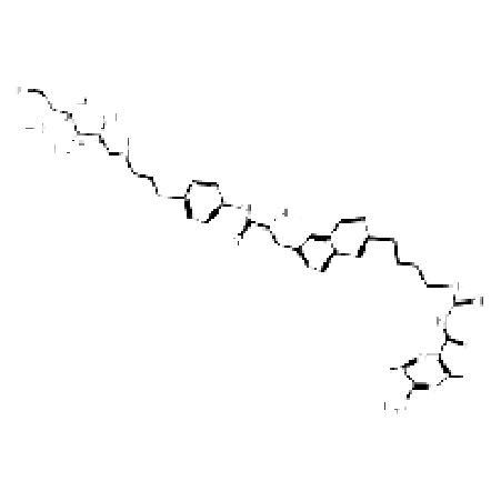 N=C(NCCCCc1ccc2cc(C[C@H](N)C(=O)Nc3ccc(CCCNC[C@H](O)[C@@H](O)[C@H](O)[C@H](O)CO)cc3)ccc2c1)NC(=O)c1nc(Cl)c(N)nc1N